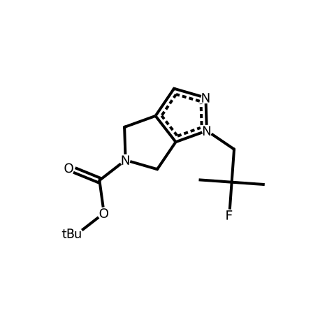 CC(C)(F)Cn1ncc2c1CN(C(=O)OC(C)(C)C)C2